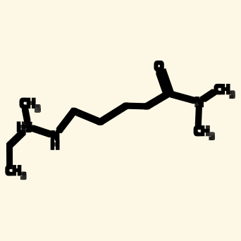 CC[SH](C)NCCCCC(=O)N(C)C